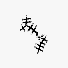 O=S(=O)(OCC(F)(F)C(F)(F)N(C(F)(F)F)C(F)(F)C(F)(F)F)C(F)(F)C(F)(F)C(F)(F)C(F)(F)F